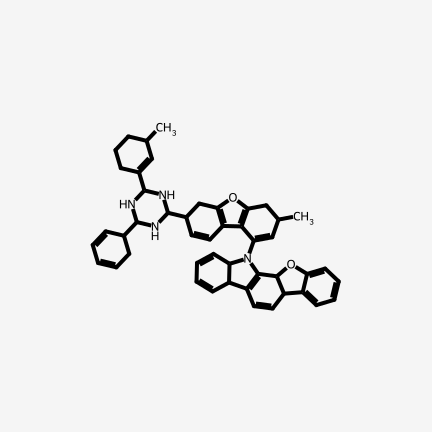 CC1C=C(C2NC(C3C=CC=CC3)NC(C3C=Cc4c(oc5c4C(N4C6=C(C=CC7c8ccccc8OC67)C6C=CC=CC64)=CC(C)C5)C3)N2)CCC1